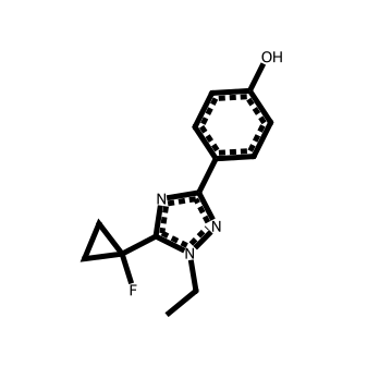 CCn1nc(-c2ccc(O)cc2)nc1C1(F)CC1